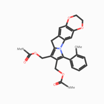 CNC(=O)OCc1c(COC(=O)NC)c(-c2ccccc2OC)n2c1Cc1cc3c(cc1-2)OCCO3